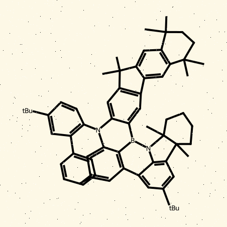 Cc1cc2c3c(c1)N(c1ccc(C(C)(C)C)cc1-c1ccccc1)c1cc4c(cc1B3N1c3c-2cc(C(C)(C)C)cc3C2(C)CCCCC12C)-c1cc2c(cc1C4(C)C)C(C)(C)CCC2(C)C